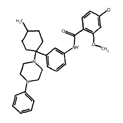 COc1cc(Cl)ccc1C(=O)Nc1cccc(C2(N3CCN(c4ccccc4)CC3)CCC(C)CC2)c1